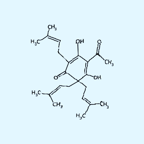 CC(=O)C1=C(O)C(CC=C(C)C)(CC=C(C)C)C(=O)C(CC=C(C)C)=C1O